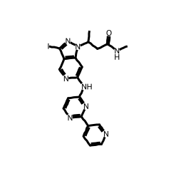 CNC(=O)CC(C)n1nc(I)c2cnc(Nc3ccnc(-c4cccnc4)n3)cc21